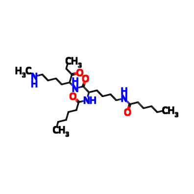 CCCCCC(=O)NCCCCC(NC(=O)CCCCC)C(=O)NC(CCCCNC)C(=O)CC